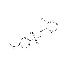 COc1ccc(S(=N)(=O)/C=C/c2ncccc2Cl)cc1